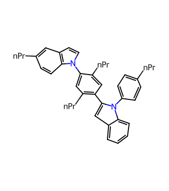 CCCc1ccc(-n2c(-c3cc(CCC)c(-n4ccc5cc(CCC)ccc54)cc3CCC)cc3ccccc32)cc1